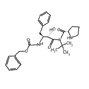 CC(C)(C)N(C(=O)[C@@H]1CCCN1)C(=O)[C@@H](O)[C@H](Cc1ccccc1)NC(=O)OCc1ccccc1